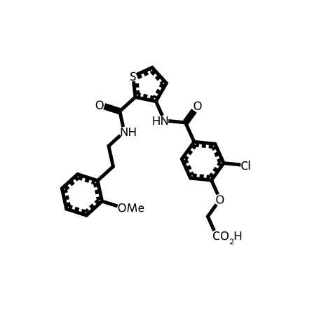 COc1ccccc1CCNC(=O)c1sccc1NC(=O)c1ccc(OCC(=O)O)c(Cl)c1